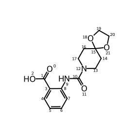 O=C(O)c1ccccc1NC(=O)N1CCC2(CC1)OCCO2